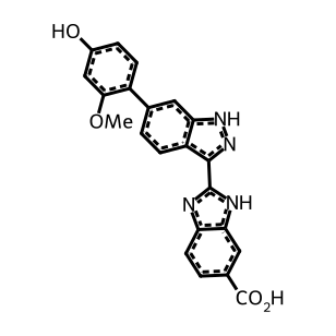 COc1cc(O)ccc1-c1ccc2c(-c3nc4ccc(C(=O)O)cc4[nH]3)n[nH]c2c1